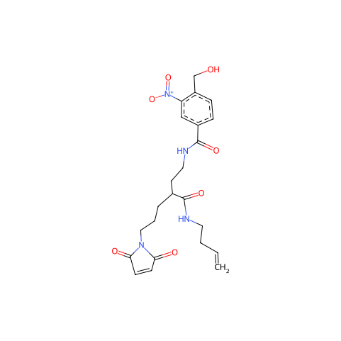 C=CCCNC(=O)C(CCCN1C(=O)C=CC1=O)CCNC(=O)c1ccc(CO)c([N+](=O)[O-])c1